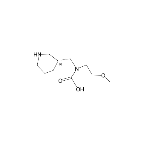 COCCN(C[C@@H]1CCCNC1)C(=O)O